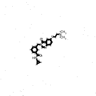 CN(C)CCSc1ccc2ncn(Cc3cccc(C(=O)NC4CC4)c3)c(=O)c2c1